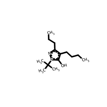 CCCCc1c(CCC)nn(C(C)(C)C)c1O